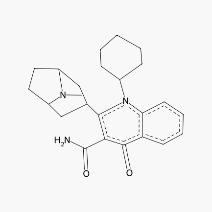 CN1C2CCC1CC(c1c(C(N)=O)c(=O)c3ccccc3n1C1CCCCC1)C2